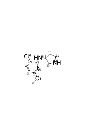 COc1ccc(Cl)c(NC2CCNC2)n1